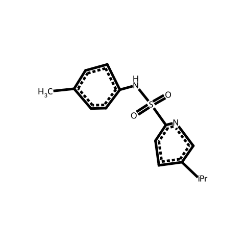 Cc1ccc(NS(=O)(=O)c2ccc(C(C)C)cn2)cc1